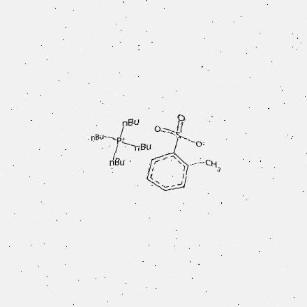 CCCC[P+](CCCC)(CCCC)CCCC.Cc1ccccc1S(=O)(=O)[O-]